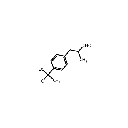 CCC(C)(C)c1ccc(CC(C)C=O)cc1